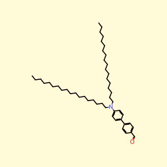 CCCCCCCCCCCCCCCCCCN(CCCCCCCCCCCCCCCCCC)c1ccc(-c2ccc(C=O)cc2)cc1